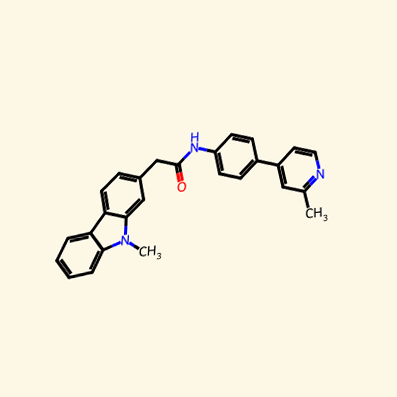 Cc1cc(-c2ccc(NC(=O)Cc3ccc4c5ccccc5n(C)c4c3)cc2)ccn1